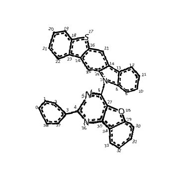 c1ccc(-c2nc(-n3c4ccccc4c4cc5sc6ccccc6c5cc43)c3oc4ccccc4c3n2)cc1